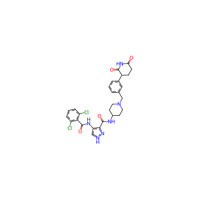 O=C1CCC(c2cccc(CN3CCC(NC(=O)c4n[nH]cc4NC(=O)c4c(Cl)cccc4Cl)CC3)c2)C(=O)N1